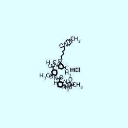 COc1cc(C(=O)N(C)c2ccc(C)cc2OCCCCCC(=O)N2CCN(C)CC2)ccc1NC(=O)c1cccc2[nH]c(C(=O)N(C)C)nc12.Cl.Cl